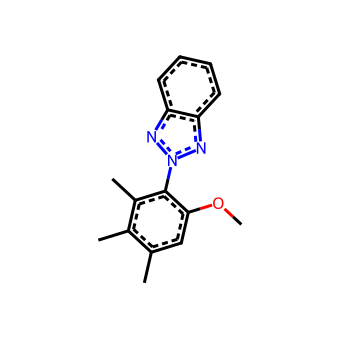 COc1cc(C)c(C)c(C)c1-n1nc2ccccc2n1